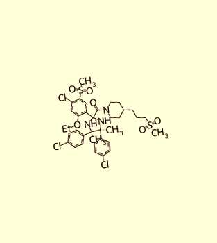 CCOc1cc(Cl)c(S(C)(=O)=O)cc1C1(C(=O)N2CCC(CCCS(C)(=O)=O)CC2)N[C@@](C)(c2ccc(Cl)cc2)[C@@](C)(c2ccc(Cl)cc2)N1